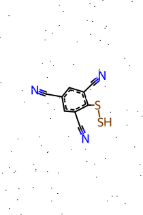 N#Cc1cc(C#N)c(SS)c(C#N)c1